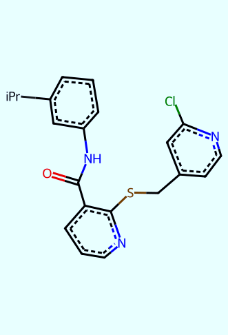 CC(C)c1cccc(NC(=O)c2cccnc2SCc2ccnc(Cl)c2)c1